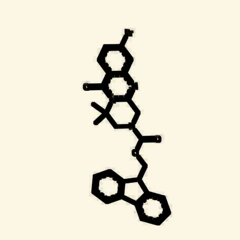 CC1(C)CN(C(=O)OCC2c3ccccc3-c3ccccc32)Cc2nc3cc(Br)ccc3c(=O)n21